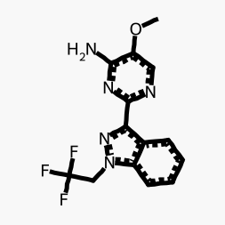 COc1cnc(-c2nn(CC(F)(F)F)c3ccccc23)nc1N